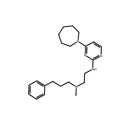 CN(CCCc1ccccc1)CCNc1nccc(N2CCCCCC2)n1